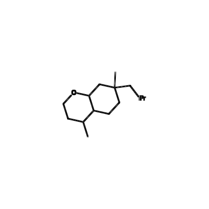 CC(C)CC1(C)CCC2C(C)CCOC2C1